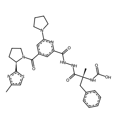 Cc1csc([C@H]2CCCN2C(=O)c2cc(C(=O)NNC(=O)[C@@](C)(Cc3ccccc3)NC(=O)O)nc(N3CCCC3)c2)n1